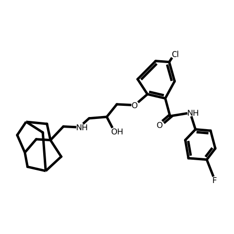 O=C(Nc1ccc(F)cc1)c1cc(Cl)ccc1OCC(O)CNCC12CC3CC(CC(C3)C1)C2